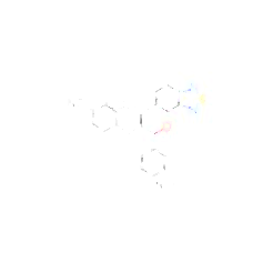 N#Cc1ccc(CC(C(=O)c2ccccc2)=C(C(=O)[O-])c2ccc3nsnc3c2)cc1.[Na+]